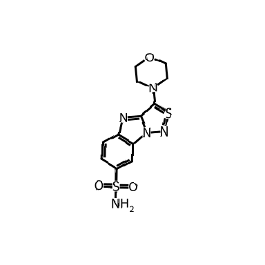 NS(=O)(=O)c1ccc2nc3n(c2c1)N=S=C3N1CCOCC1